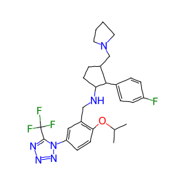 CC(C)Oc1ccc(-n2nnnc2C(F)(F)F)cc1CNC1CCC(CN2CCCC2)C1c1ccc(F)cc1